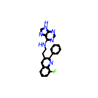 Fc1cccc2cc(CCNc3ncnc4[nH]cnc34)c(-c3ccccc3)nc12